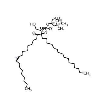 CCCCCCCC/C=C\CCCCCCCC(=O)C(CCCCCCCCCCCCCCCC)(OP(=O)([O-])O[C@@H](CC)C[N+](C)(C)C)[C@@H](O)CO